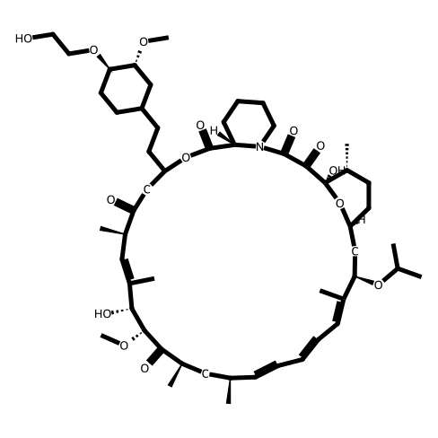 CO[C@@H]1CC(CCC2CC(=O)[C@H](C)/C=C(\C)[C@@H](O)[C@@H](OC)C(=O)[C@H](C)C[C@H](C)/C=C/C=C/C=C(\C)[C@H](OC(C)C)C[C@@H]3CC[C@@H](C)[C@@](O)(O3)C(=O)C(=O)N3CCCC[C@H]3C(=O)O2)CC[C@H]1OCCO